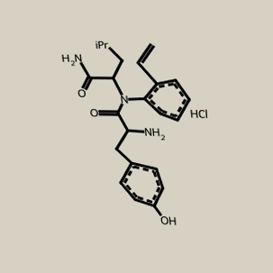 C=Cc1ccccc1N(C(=O)C(N)Cc1ccc(O)cc1)C(CC(C)C)C(N)=O.Cl